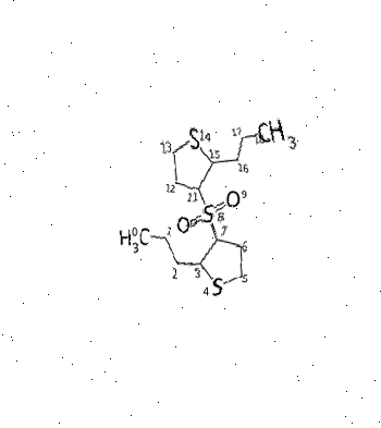 CCCC1SCCC1S(=O)(=O)C1CCSC1CCC